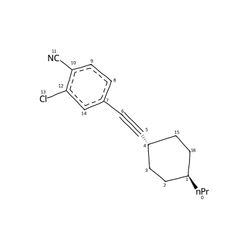 CCC[C@H]1CC[C@H](C#Cc2ccc(C#N)c(Cl)c2)CC1